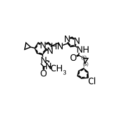 CN1CN(c2cc(C3CC3)cn3cc(CNc4cc(NC(=O)[C@H]5C[C@@H]5c5cccc(Cl)c5)ncn4)nc23)CC1=O